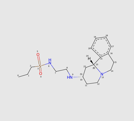 CCCS(=O)(=O)NCCN[C@H]1CCN2CCc3ccccc3[C@H]2C1